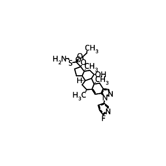 CCC(=O)O[C@]1(C(=O)SCN)CCC2[C@@H]3C[C@H](C)C4=Cc5c(cnn5-c5ccc(F)nc5)C[C@]4(C)C3[C@@H](O)C[C@@]21C